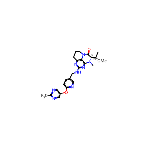 CO[C@H](C)[C@H]1C(=O)N2CCCc3nc(NCc4ccc(Oc5cnc(C(F)(F)F)nc5)nc4)nc(c32)N1C